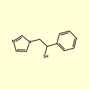 SC(Cn1ccnc1)c1ccccc1